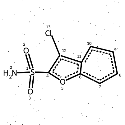 NS(=O)(=O)c1oc2ccccc2c1Cl